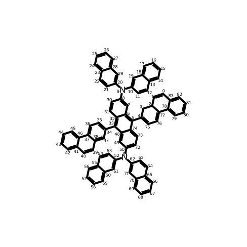 C1=CC2CC(c3c4cc(N(c5ccc6ccccc6c5)c5ccc6ccccc6c5)ccc4c(-c4ccc5c(ccc6ccccc65)c4)c4cc(N(c5ccc6ccccc6c5)c5ccc6ccccc6c5)ccc34)=CC=C2c2ccccc21